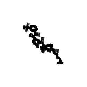 Cc1ccc(C(=O)Nc2cccc(C(F)(F)F)c2)cc1Nc1nn(C)c2nc(NCCCCN(C)C)ncc12